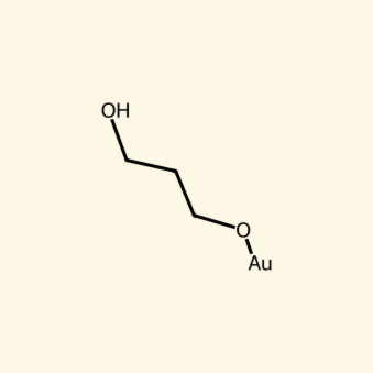 OCCC[O][Au]